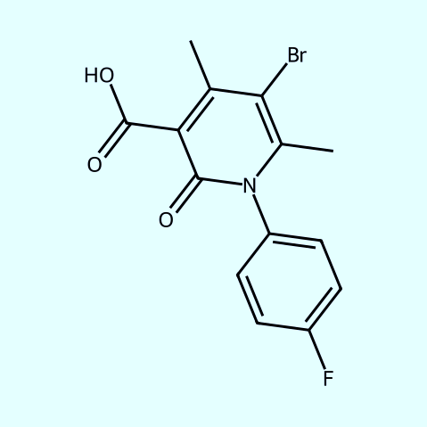 Cc1c(Br)c(C)n(-c2ccc(F)cc2)c(=O)c1C(=O)O